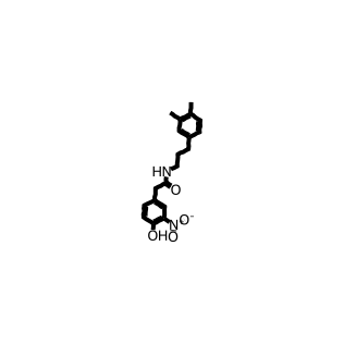 Cc1ccc(CCCNC(=O)Cc2ccc(O)c([N+](=O)[O-])c2)cc1C